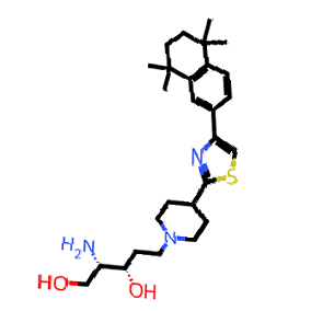 CC1(C)CCC(C)(C)c2cc(-c3csc(C4CCN(CC[C@H](O)[C@@H](N)CO)CC4)n3)ccc21